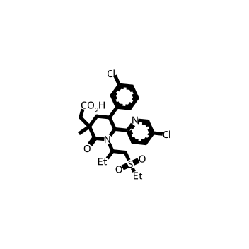 CCC(CS(=O)(=O)CC)N1C(=O)C(C)(CC(=O)O)CC(c2cccc(Cl)c2)C1c1ccc(Cl)cn1